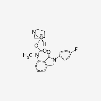 CN(C(=O)O[C@@H]1CN2CCC1CC2)c1cccc2c1C(=O)N(c1ccc(F)cc1)C2